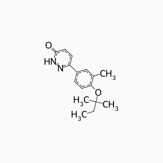 CCC(C)(C)Oc1ccc(-c2ccc(=O)[nH]n2)cc1C